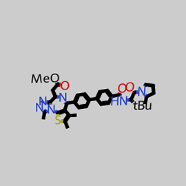 COC(=O)CC1N=C(c2ccc(-c3ccc(C(=O)NC(C(=O)N4CCCC4C)C(C)(C)C)cc3)cc2)c2c(sc(C)c2C)-n2c(C)nnc21